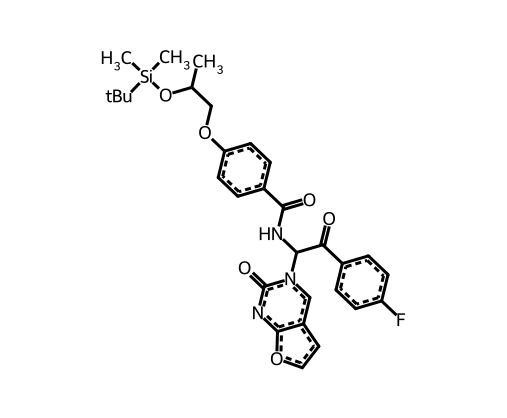 CC(COc1ccc(C(=O)NC(C(=O)c2ccc(F)cc2)n2cc3ccoc3nc2=O)cc1)O[Si](C)(C)C(C)(C)C